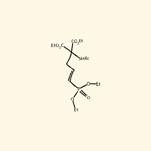 CCOC(=O)C(C/C=C/P(=O)(OCC)OCC)(NC(C)=O)C(=O)OCC